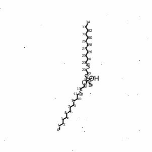 CCCCCCCCCCCCSCCOP(O)(=S)SCCSCCCCCCCCCCCC